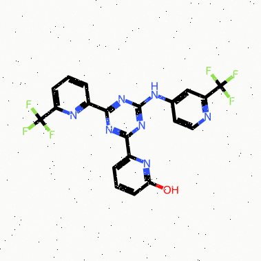 Oc1cccc(-c2nc(Nc3ccnc(C(F)(F)F)c3)nc(-c3cccc(C(F)(F)F)n3)n2)n1